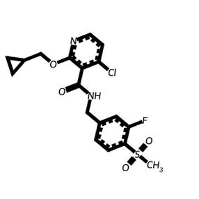 CS(=O)(=O)c1ccc(CNC(=O)c2c(Cl)ccnc2OCC2CC2)cc1F